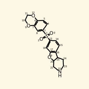 O=S(=O)(c1ccc2c(c1)OCCO2)c1ccc2c(c1)OC1CNCCC21